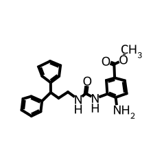 COC(=O)c1ccc(N)c(NC(=O)NCCC(c2ccccc2)c2ccccc2)c1